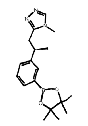 C[C@H](Cc1nncn1C)c1cccc(B2OC(C)(C)C(C)(C)O2)c1